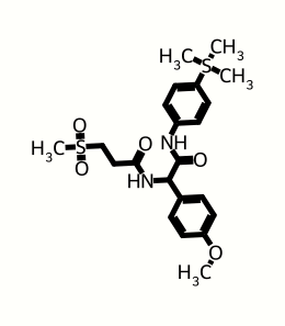 COc1ccc(C(NC(=O)CCS(C)(=O)=O)C(=O)Nc2ccc(S(C)(C)C)cc2)cc1